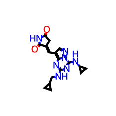 O=C1C/C(=C\c2cnn3c(NC4CC4)nc(NCC4CC4)nc23)C(=O)N1